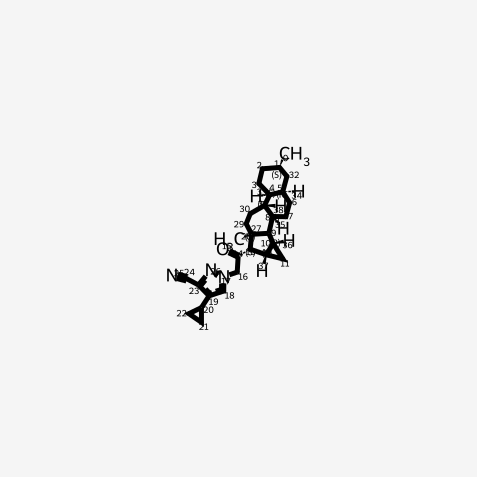 C[C@H]1CC[C@H]2[C@H](CC[C@H]3C4[C@@H]5C[C@@H]5[C@H](C(=O)Cn5cc(C6CC6)c(C#N)n5)[C@@]4(C)CC[C@H]23)C1